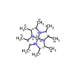 CC[N](CC)[Ge]([N](CC)CC)([N](CC)CC)[N](CC)CC